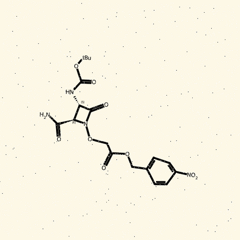 CC(C)(C)OC(=O)N[C@@H]1C(=O)N(OCC(=O)OCc2ccc([N+](=O)[O-])cc2)[C@H]1C(N)=O